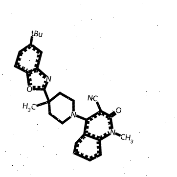 Cn1c(=O)c(C#N)c(N2CCC(C)(c3nc4cc(C(C)(C)C)ccc4o3)CC2)c2ccccc21